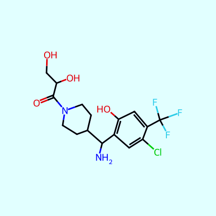 NC(c1cc(Cl)c(C(F)(F)F)cc1O)C1CCN(C(=O)C(O)CO)CC1